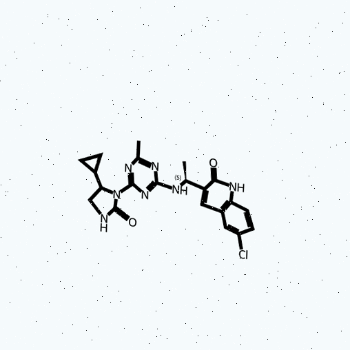 Cc1nc(N[C@@H](C)c2cc3cc(Cl)ccc3[nH]c2=O)nc(N2C(=O)NCC2C2CC2)n1